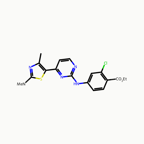 CCOC(=O)c1ccc(Nc2nccc(-c3sc(NC)nc3C)n2)cc1Cl